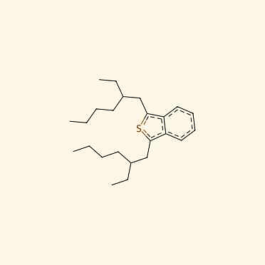 CCCCC(CC)Cc1sc(CC(CC)CCCC)c2ccccc12